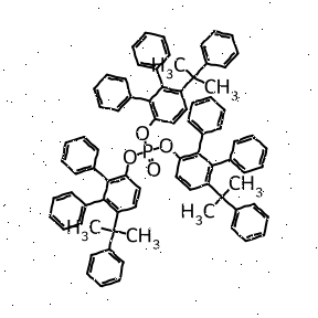 CC(C)(c1ccccc1)c1ccc(OP(=O)(Oc2ccc(C(C)(C)c3ccccc3)c(-c3ccccc3)c2-c2ccccc2)Oc2ccc(C(C)(C)c3ccccc3)c(-c3ccccc3)c2-c2ccccc2)c(-c2ccccc2)c1-c1ccccc1